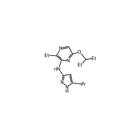 CCc1ncc(OC(CC)CC)nc1Nc1cc(C(C)C)[nH]n1